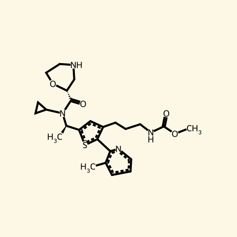 COC(=O)NCCCc1cc([C@@H](C)N(C(=O)[C@H]2CNCCO2)C2CC2)sc1-c1ncccc1C